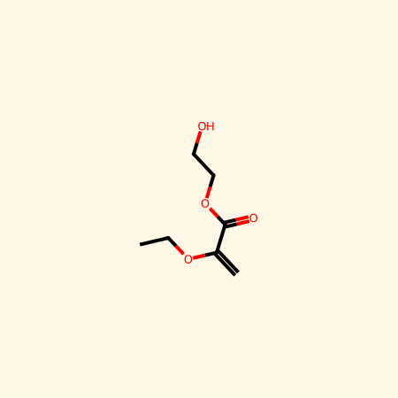 C=C(OCC)C(=O)OCCO